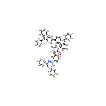 c1ccc(-c2nc(-c3ccccc3)nc(-c3ccc4oc5c(-c6cccc7c6c6cc(-c8ccc9c(c8)c8ccccc8n9-c8ccccc8)ccc6n7-c6ccccc6)cccc5c4c3)n2)cc1